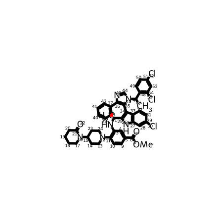 C=C(Nc1cc(C(=O)OC)ccc1N1CCC(N2CCCCC2=O)CC1)c1[nH]c2cc(Cl)ccc2c1-c1c(-c2ccccc2)ncn1C(C)c1ccc(Cl)cc1Cl